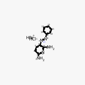 Br.Cl.Nc1ccc(/N=N/c2ccccc2)c(N)n1